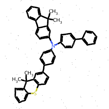 CC1(C)c2ccccc2Sc2ccc(-c3ccc(N(c4ccc(-c5ccccc5)cc4)c4ccc5c(c4)C(C)(C)c4ccccc4-5)cc3)cc21